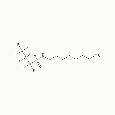 CCCCCCCCNS(=O)(=O)C(F)(F)C(F)(F)C(F)(F)F